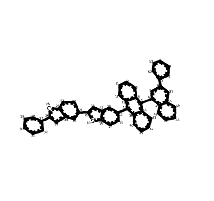 c1ccc(-c2cc(-c3c4ccccc4c(-c4ccc5sc(-c6ccc7oc(-c8ccccc8)cc7c6)cc5c4)c4ccccc34)c3ccccc3c2)cc1